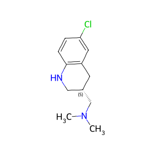 CN(C)C[C@@H]1CNc2ccc(Cl)cc2C1